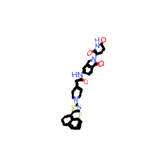 O=C1CCC(N2Cc3cc(NC(=O)CC4CCN(c5ncc(-c6cccc7cccc(F)c67)s5)CC4)ccc3C2=O)C(=O)N1